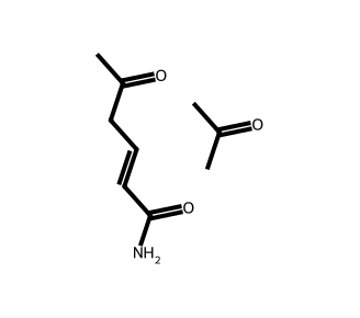 CC(=O)CC=CC(N)=O.CC(C)=O